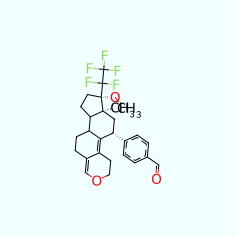 CO[C@@]1(C(F)(F)C(F)(F)F)CCC2C3CCC4=COCCC4=C3[C@@H](c3ccc(C=O)cc3)C[C@@]21C